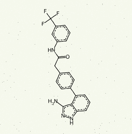 Nc1n[nH]c2cccc(-c3ccc(CC(=O)Nc4cccc(C(F)(F)F)c4)cc3)c12